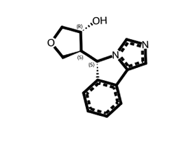 O[C@H]1COC[C@@H]1[C@H]1c2ccccc2-c2cncn21